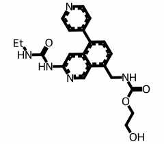 CCNC(=O)Nc1cc2c(-c3ccncc3)ccc(CNC(=O)OCCO)c2cn1